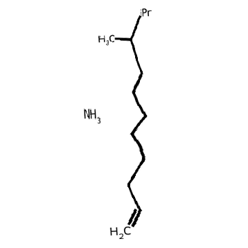 C=CCCCCCCC(C)C(C)C.N